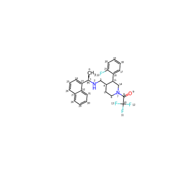 C[C@@H](NCC1CCN(C(=O)C(F)(F)F)CC1c1ccccc1F)c1cccc2ccccc12